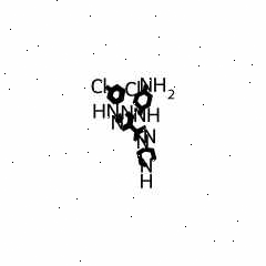 NC1CCC(Nc2nc(Nc3cc(Cl)cc(Cl)c3)ncc2-c2cnn(C3CCNCC3)c2)CC1